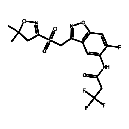 CC1(C)CC(S(=O)(=O)Cc2noc3cc(F)c(NC(=O)CC(F)(F)F)cc23)=NO1